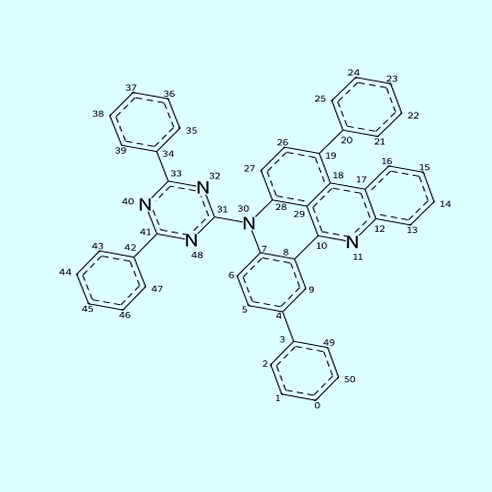 c1ccc(-c2ccc3c(c2)-c2nc4ccccc4c4c(-c5ccccc5)ccc(c24)N3c2nc(-c3ccccc3)nc(-c3ccccc3)n2)cc1